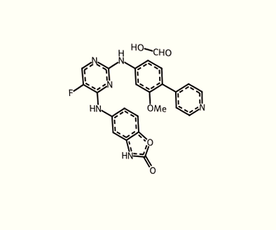 COc1cc(Nc2ncc(F)c(Nc3ccc4oc(=O)[nH]c4c3)n2)ccc1-c1ccncc1.O=CO